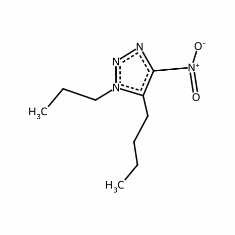 CCCCc1c([N+](=O)[O-])nnn1CCC